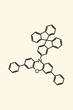 c1ccc(-c2ccc3c(c2)Oc2cc(-c4ccccc4)ccc2N3c2ccc3c(c2)-c2ccccc2C32c3ccccc3-c3ccccc32)cc1